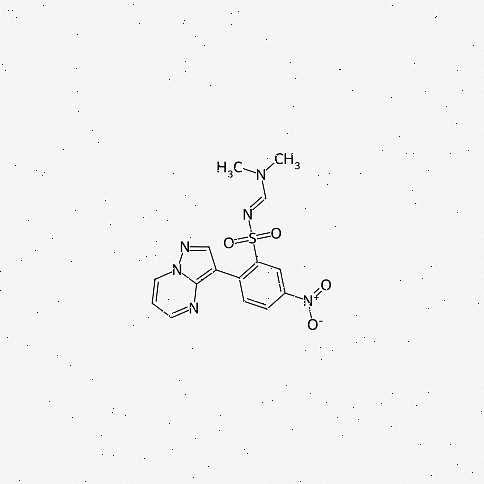 CN(C)C=NS(=O)(=O)c1cc([N+](=O)[O-])ccc1-c1cnn2cccnc12